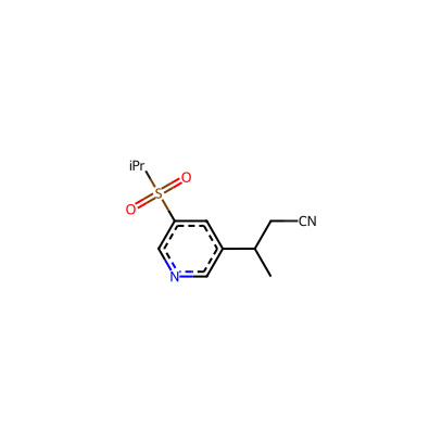 CC(CC#N)c1cncc(S(=O)(=O)C(C)C)c1